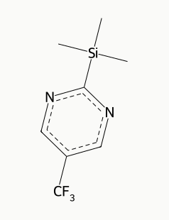 C[Si](C)(C)c1ncc(C(F)(F)F)cn1